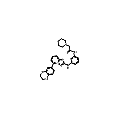 O=C(CN1CCCCC1)Nc1cccc(Nc2nc3cccc(-c4ccc5c(c4)OCCO5)n3n2)c1